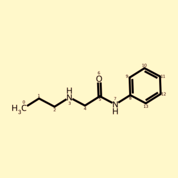 CCCNCC(=O)Nc1ccccc1